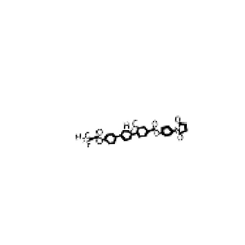 C=C(F)C(=O)OC1=CC=C(C2=CC=C(C3=CC=C(C(=O)Oc4ccc(N5C(=O)C=CC5=O)cc4)CC3C)CC2)CC1